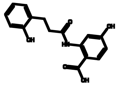 O=C(CCc1ccccc1O)Nc1cc(O)ccc1C(=O)O